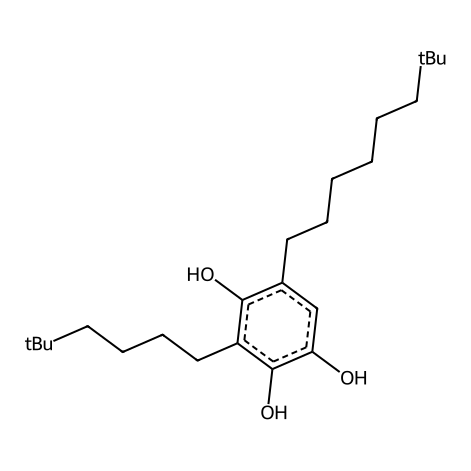 CC(C)(C)CCCCCCc1cc(O)c(O)c(CCCCC(C)(C)C)c1O